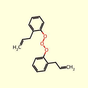 C=CCc1ccccc1OOOc1ccccc1CC=C